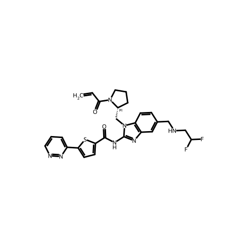 C=CC(=O)N1CCC[C@@H]1Cn1c(NC(=O)c2ccc(-c3cccnn3)s2)nc2cc(CNCC(F)F)ccc21